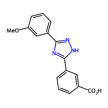 COc1cccc(-c2n[nH]c(-c3cccc(C(=O)O)c3)n2)c1